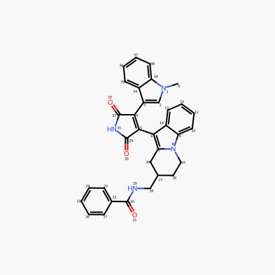 Cn1cc(C2=C(c3c4n(c5ccccc35)CCC(CNC(=O)c3ccccc3)C4)C(=O)NC2=O)c2ccccc21